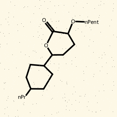 CCCCCOC1CCC(C2CCC(CCC)CC2)OC1=O